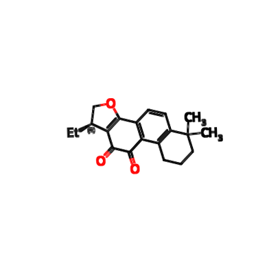 CC[C@H]1COC2=C1C(=O)C(=O)c1c2ccc2c1CCCC2(C)C